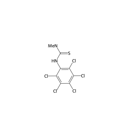 CNC(=S)Nc1c(Cl)c(Cl)c(Cl)c(Cl)c1Cl